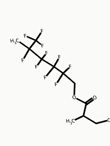 CCC(C)C(=O)OCC(F)(F)C(F)(F)C(F)(F)C(C)(F)C(F)(F)F